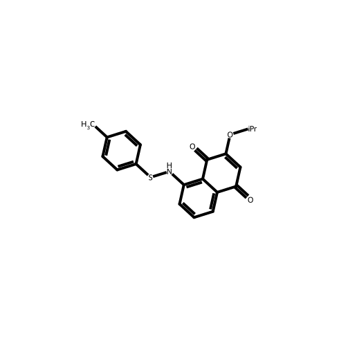 Cc1ccc(SNc2cccc3c2C(=O)C(OC(C)C)=CC3=O)cc1